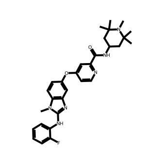 CN1C(C)(C)CC(NC(=O)c2cc(Oc3ccc4c(c3)nc(Nc3ccccc3F)n4C)ccn2)CC1(C)C